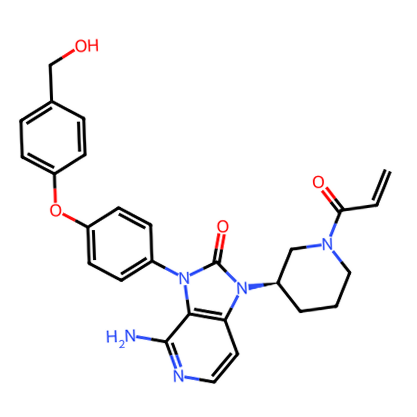 C=CC(=O)N1CCC[C@@H](n2c(=O)n(-c3ccc(Oc4ccc(CO)cc4)cc3)c3c(N)nccc32)C1